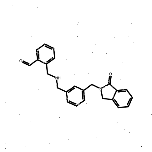 O=Cc1ccccc1CNCc1cccc(CN2Cc3ccccc3C2=O)c1